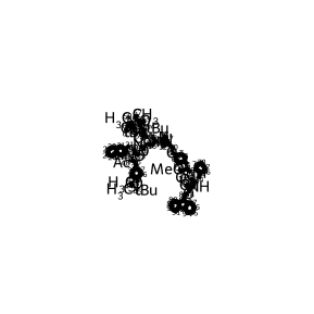 COC(=O)[C@H](Cc1ccc(OCc2cn([C@H]3C[C@@H](C(=O)N[C@@H](Cc4ccc5ccccc5c4)C(=O)N[C@@H](Cc4ccc(O[Si](C)(C)C(C)(C)C)cc4)C(C)=O)N(C(=O)[C@@H](NC(=O)C(C)N(C)C(=O)OC(C)(C)C)C(C)(C)C)C3)nn2)cc1)NC(=O)[C@H](Cc1ccccc1)NC(=O)OCC1c2ccccc2-c2ccccc21